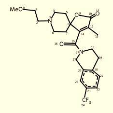 COCCN1CCC2(CC1)OC(=O)C(C)=C2C(=O)N1CCc2ccc(C(F)(F)F)cc2C1